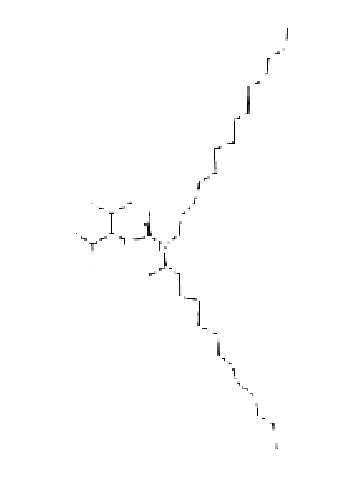 CCCCCCCCCCCCCCN(C(=O)OC(C(C)C)C(C)C)C(C)CCCCCCCCCCCC